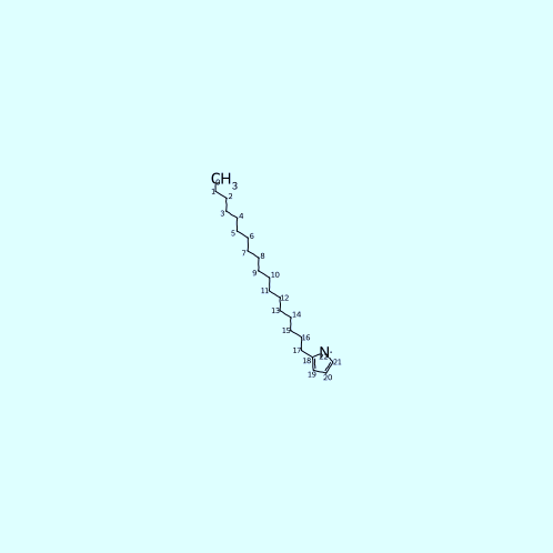 CCCCCCCCCCCCCCCCCCC1=CC=C[N]1